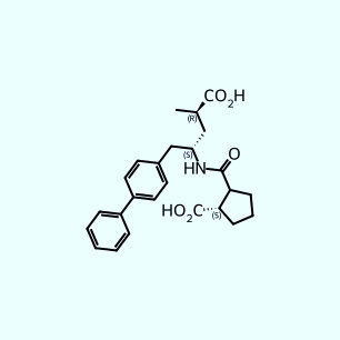 C[C@H](C[C@@H](Cc1ccc(-c2ccccc2)cc1)NC(=O)C1CCC[C@@H]1C(=O)O)C(=O)O